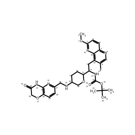 COc1ccc2ncc(F)c(CC(NC(=O)OC(C)(C)C)C3CCC(NCc4ccc5c(n4)NC(=O)CO5)CO3)c2n1